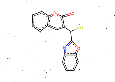 O=c1oc2ccccc2cc1C(S)c1nc2ccccc2o1